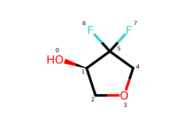 O[C@@H]1COCC1(F)F